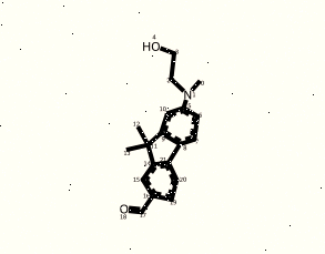 CN(CCO)c1ccc2c(c1)C(C)(C)c1cc(C=O)ccc1-2